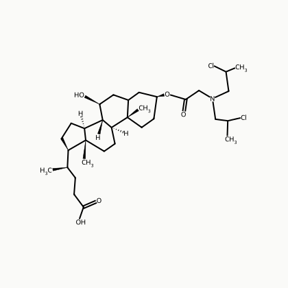 CC(Cl)CN(CC(=O)O[C@H]1CC[C@@]2(C)C(C1)C[C@H](O)[C@H]1[C@@H]3CC[C@H]([C@H](C)CCC(=O)O)[C@@]3(C)CC[C@@H]12)CC(C)Cl